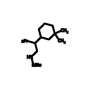 CCCC(CNNC)C1CCCC(C)(C)C1